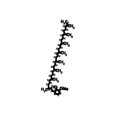 COc1cccc(C/C=C(\C)CC/C=C(\C)CC/C=C(\C)CC/C=C(\C)CC/C=C(\C)CC/C=C(\C)CC/C=C(\C)CCC=C(C)C)c1O